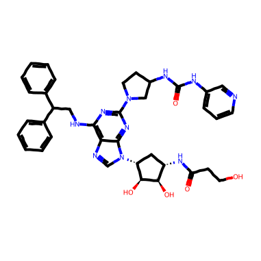 O=C(CCO)N[C@H]1C[C@@H](n2cnc3c(NCC(c4ccccc4)c4ccccc4)nc(N4CCC(NC(=O)Nc5cccnc5)C4)nc32)[C@H](O)[C@@H]1O